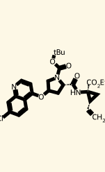 C=C[C@H]1C[C@@]1(NC(=O)[C@@H]1CC(Oc2ccnc3cc(Cl)ccc23)CN1C(=O)OC(C)(C)C)C(=O)OCC